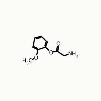 COc1ccccc1OC(=O)CN